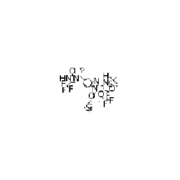 C[C@H](O[C@H](C)[C@H](N[S@+]([O-])C(C)(C)C)c1nc2cc([C@@H](C3CC3)N3C[C@@H](C(F)(F)F)NC3=O)ccc2n1COCC[Si](C)(C)C)C(F)(F)F